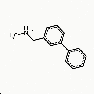 CNCc1cccc(-c2ccccc2)c1